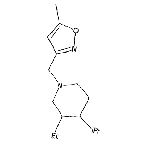 CCC1CN(Cc2cc(C)on2)CCC1C(C)C